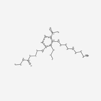 CCCc1c(OCCCC(=O)OCC)ccc(C(C)=O)c1OCCCOCCCBr